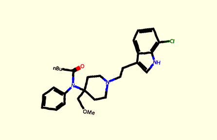 CCCCC(=O)N(c1ccccc1)C1(COC)CCN(CCc2c[nH]c3c(Cl)cccc23)CC1